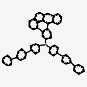 c1ccc(-c2ccc(-c3ccc(N(c4ccc(-c5ccc(-c6ccccc6)cc5)cc4)c4ccc(-c5c6ccccc6cc6ccccc56)c(-c5ccccc5)c4)cc3)cc2)cc1